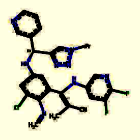 C=Nc1c(Cl)cc(N[C@@H](c2cccnc2)c2cn(C(C)C)nn2)cc1/C(Nc1cnc(F)c(F)c1)=C(\C)C#N